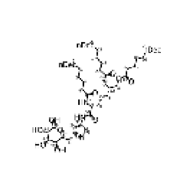 CCCCCCCCCCCCCCC(=O)N[C@H](CSC[C@@H](COC(=O)CCCCCCCCCCCCCC)OC(=O)CCCCCCCCCCCCCC)C(=O)Nc1cn(CC2OC(O)C(O)C(O)C2O)nn1